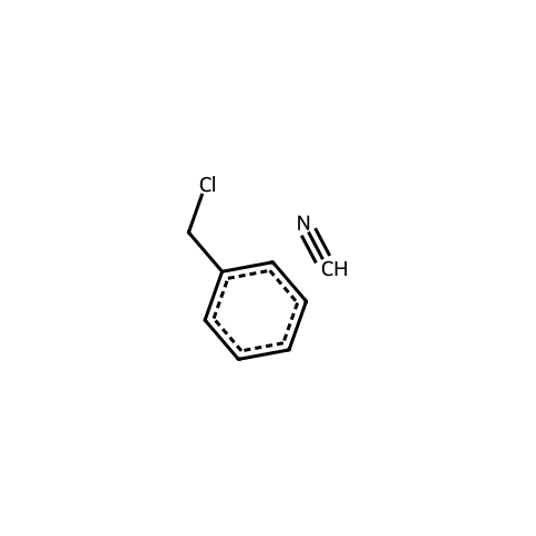 C#N.ClCc1ccccc1